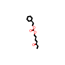 C=CC(=O)C=CC=COC(=O)OC=Cc1ccccc1